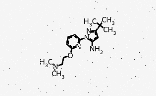 CN(C)CCOc1cccc(-n2nc(C(C)(C)C)cc2N)n1